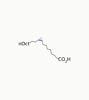 CCCCCCCCCC/C=C\CCCCCCCC(=O)O